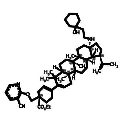 C=C(C)[C@@H]1CC[C@]2(NCCC3(O)CCCCC3)CC[C@]3(C)[C@H](CC[C@@H]4[C@@]5(C)CC=C(C6=CC[C@](COc7ncccc7C#N)(C(=O)OCC)CC6)C(C)(C)[C@@H]5CC[C@]43C)[C@@H]12